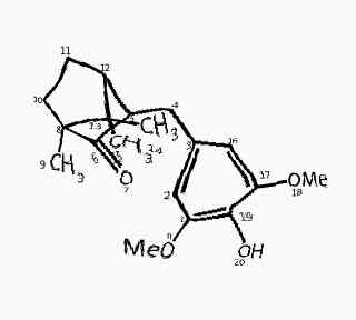 COc1cc(CC2C(=O)C3(C)CCC2C3(C)C)cc(OC)c1O